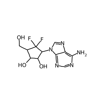 Nc1ncnc2c1ncn2C1C(O)C(O)C(CO)C1(F)F